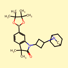 CC1(C)C(=O)N(C2CC(N3CC4CCC3CC4)C2)c2cc(B3OC(C)(C)C(C)(C)O3)ccc21